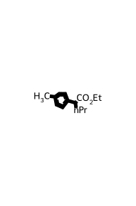 CCCC(C(=O)OCC)c1ccc(C)cc1